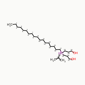 CCCCCCCCCCCCCCCCCC[PH](CCCO)(CCCO)CC(C)C